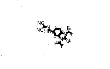 N#CC(C#N)=NNc1ccc2c(c1)n(C(F)F)c(=O)n2C(F)F